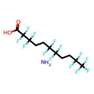 N.O=C(O)C(F)(F)C(F)(F)CCC(F)(F)C(F)(F)CCC(F)(F)C(F)(F)F